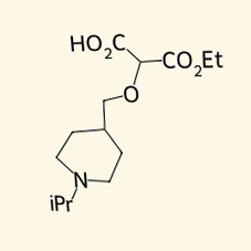 CCOC(=O)C(OCC1CCN(C(C)C)CC1)C(=O)O